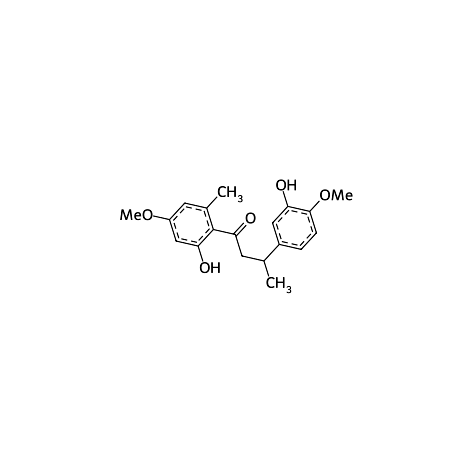 COc1cc(C)c(C(=O)CC(C)c2ccc(OC)c(O)c2)c(O)c1